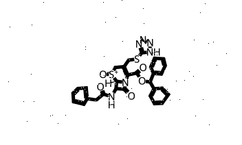 O=C(Cc1ccccc1)NC1C(=O)N2C(C(=O)OC(c3ccccc3)c3ccccc3)=C(CSc3nnn[nH]3)C[S+]([O-])[C@H]12